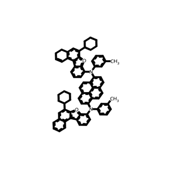 Cc1cccc(N(c2ccc3ccc4c(N(c5cccc(C)c5)c5cccc6c5oc5c(C7CCCCC7)cc7ccccc7c56)ccc5ccc2c3c54)c2cccc3c2oc2c(C4CCCCC4)cc4c(c23)C=CCC4)c1